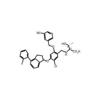 C[C@@H](O)[C@H](NCc1cc(Cl)c(O[C@@H]2CCc3c(-c4ccccc4F)cccc32)cc1OCc1cncc(C#N)c1)C(=O)O